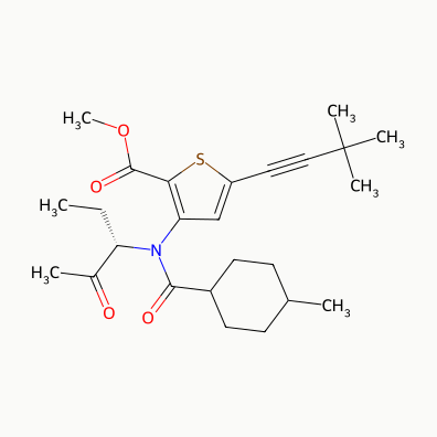 CC[C@@H](C(C)=O)N(C(=O)C1CCC(C)CC1)c1cc(C#CC(C)(C)C)sc1C(=O)OC